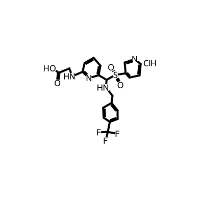 Cl.O=C(O)CNc1cccc(C(NCc2ccc(C(F)(F)F)cc2)S(=O)(=O)c2cccnc2)n1